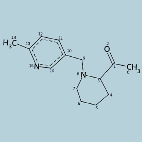 CC(=O)C1CCCCN1Cc1ccc(C)nc1